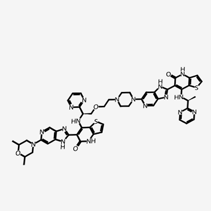 CC1CN(c2cc3[nH]c(-c4c(N[C@H](COCCN5CCN(c6cc7[nH]c(-c8c(N[C@@H](C)c9ncccn9)c9sccc9[nH]c8=O)nc7cn6)CC5)c5ncccn5)c5sccc5[nH]c4=O)nc3cn2)CC(C)O1